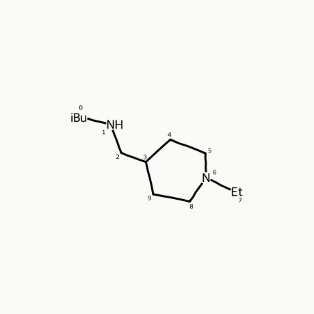 CCC(C)NCC1CCN(CC)CC1